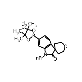 CCCN1C(=O)C2(CCOCC2)c2ccc(B3OC(C)(C)C(C)(C)O3)cc21